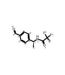 C[C@H](NC(=O)C(F)(F)F)c1ccc(C=O)cc1